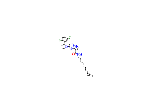 C=CCCCCCCCNC(=O)c1cnn2ccc(N3CCC[C@@H]3c3cc(F)ccc3F)nc12